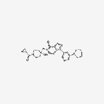 O=C(C1CC1)N1CCC(O)(Cn2cnc3c(cnn3-c3cccc(N4CCCCC4)c3)c2=O)CC1